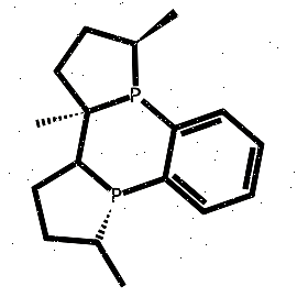 CC1CCC2[P@]1c1ccccc1P1[C@H](C)CC[C@]21C